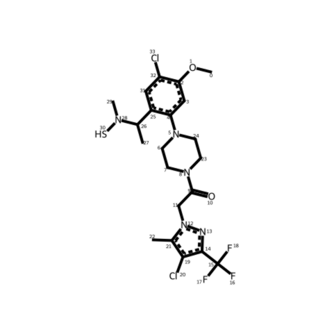 COc1cc(N2CCN(C(=O)Cn3nc(C(F)(F)F)c(Cl)c3C)CC2)c(C(C)N(C)S)cc1Cl